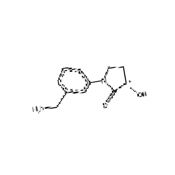 NCc1cccc(N2CC[C@H](O)C2=O)c1